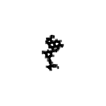 CCc1nnc2nc(Nc3cc(F)cc(C#CC4(C)CC4)c3)c3c(F)c(F)ccc3n12